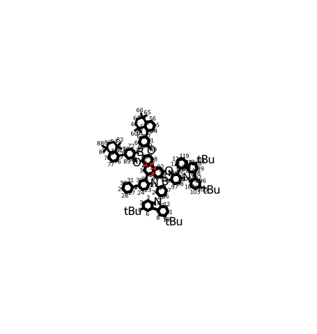 CC(C)(C)c1ccc2c(c1)c1cc(C(C)(C)C)ccc1n2-c1ccc2c(c1)N(c1ccc(-c3ccccc3)cc1-c1ccccc1)c1cc(-c3cc4c5c(c3)Oc3cc(-c6cccc7c6C(C)(C)CCC7(C)C)ccc3B5c3ccc(-c5cccc6c5C(C)(C)CCC6(C)C)cc3O4)cc3c1B2c1ccc(-n2c4ccc(C(C)(C)C)cc4c4cc(C(C)(C)C)ccc42)c(-c2ccccc2)c1O3